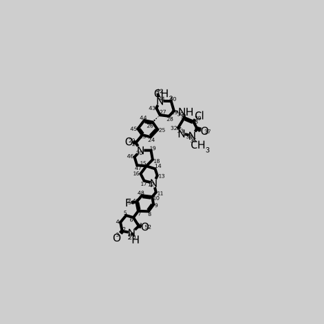 [2H]N1C(=O)CCC(c2ccc(CN3CCC4(CC3)CCN(C(=O)c3ccc([C@H]5C[C@@H](Nc6cnn(C)c(=O)c6Cl)CN(C)C5)cc3)CC4)cc2F)C1=O